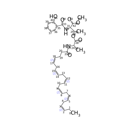 CC/C=C\C/C=C\C/C=C\C/C=C\C/C=C\C/C=C\CCC(=O)NC(C)C(=O)OC(C)C(NC(=O)c1ccccc1O)C(=O)OC